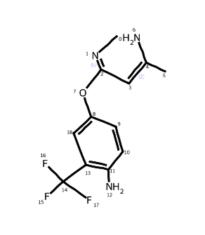 C/N=C(\C=C(\C)N)Oc1ccc(N)c(C(F)(F)F)c1